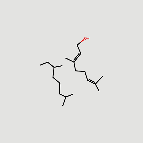 CC(C)=CCCC(C)=CCO.CCC(C)CCCC(C)C